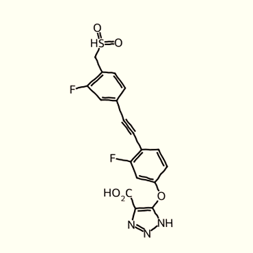 O=C(O)c1nn[nH]c1Oc1ccc(C#Cc2ccc(C[SH](=O)=O)c(F)c2)c(F)c1